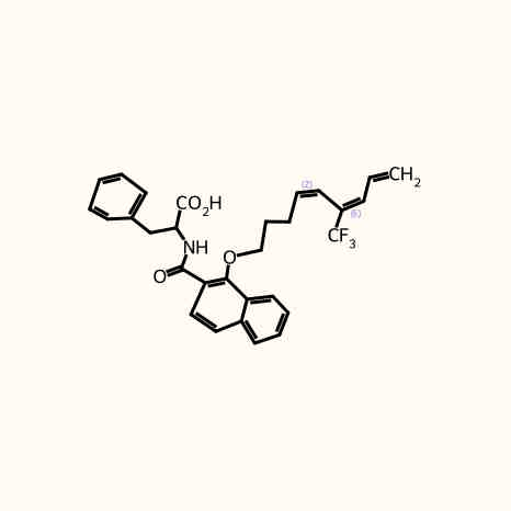 C=C/C=C(\C=C/CCCOc1c(C(=O)NC(Cc2ccccc2)C(=O)O)ccc2ccccc12)C(F)(F)F